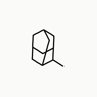 [CH]C1C2CC3CC(C2)CC1C3